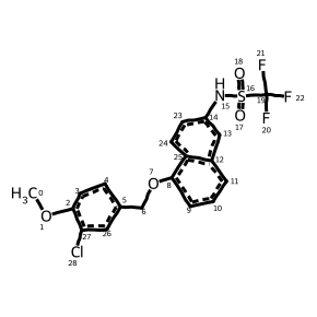 COc1ccc(COc2cccc3cc(NS(=O)(=O)C(F)(F)F)ccc23)cc1Cl